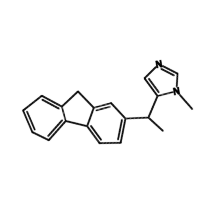 CC(c1ccc2c(c1)Cc1ccccc1-2)c1cncn1C